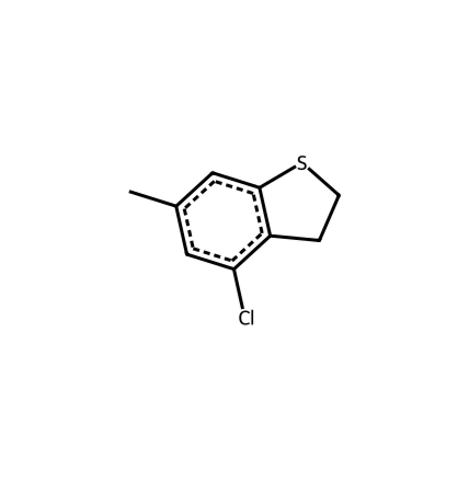 Cc1cc(Cl)c2c(c1)SCC2